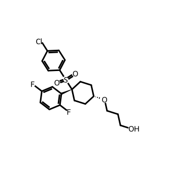 O=S(=O)(c1ccc(Cl)cc1)[C@]1(c2cc(F)ccc2F)CC[C@H](OCCCO)CC1